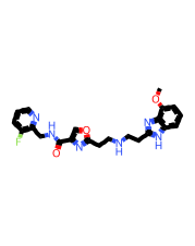 COc1cccc2[nH]c(CCNCCc3nc(C(=O)NCc4ncccc4F)co3)nc12